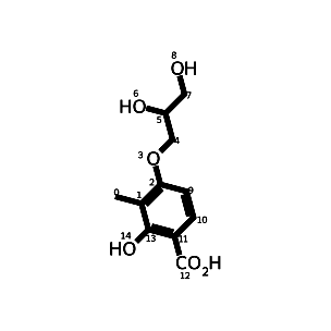 Cc1c(OCC(O)CO)ccc(C(=O)O)c1O